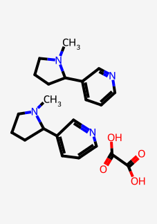 CN1CCCC1c1cccnc1.CN1CCCC1c1cccnc1.O=C(O)C(=O)O